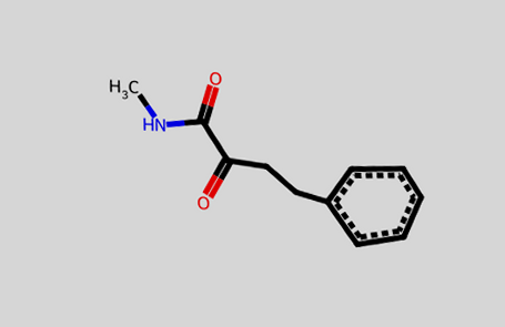 CNC(=O)C(=O)CCc1ccccc1